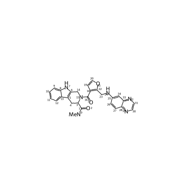 CNC(=O)C1Cc2c([nH]c3ccccc23)CN1C(=O)c1ccoc1CNc1ccc2nccnc2c1